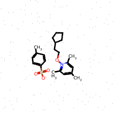 Cc1cc(C)[n+](OCCC2CCCC2)c(C)c1.Cc1ccc(S(=O)(=O)[O-])cc1